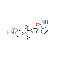 CNC(=O)c1ccccc1-c1ccc(C(=O)N(C2CC2)C2CCc3[nH]ncc3C2)cc1